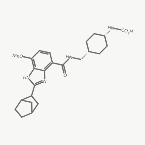 COc1ccc(C(=O)NC[C@H]2CC[C@@H](NC(=O)O)CC2)c2nc(C3CC4CCC3C4)[nH]c12